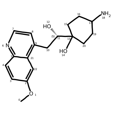 COc1ccc2nccc(C[C@H](O)C3(O)CCC(N)CC3)c2c1